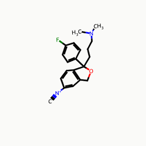 [C-]#[N+]c1ccc2c(c1)COC2(CCCN(C)C)c1ccc(F)cc1